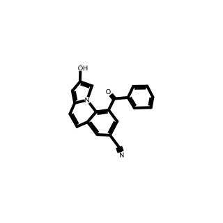 N#Cc1cc(C(=O)c2ccccc2)c2c(ccc3cc(O)cn32)c1